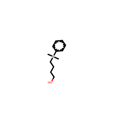 C[Si](C)(CCCCO)c1ccccc1